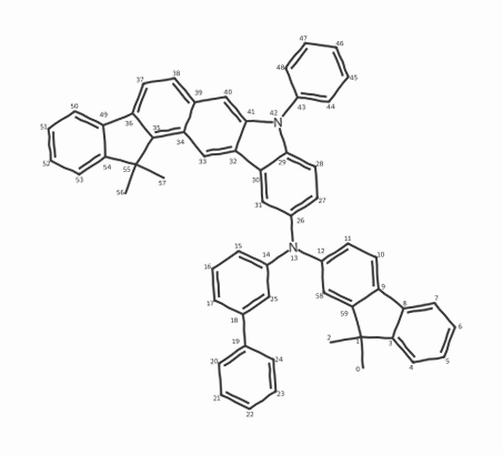 CC1(C)c2ccccc2-c2ccc(N(c3cccc(-c4ccccc4)c3)c3ccc4c(c3)c3cc5c6c(ccc5cc3n4-c3ccccc3)-c3ccccc3C6(C)C)cc21